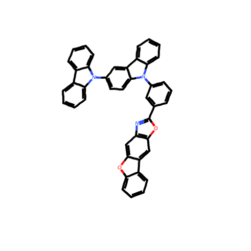 c1cc(-c2nc3cc4oc5ccccc5c4cc3o2)cc(-n2c3ccccc3c3cc(-n4c5ccccc5c5ccccc54)ccc32)c1